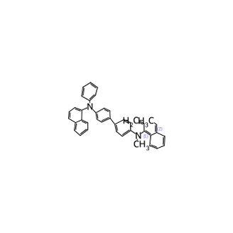 C=C/C(=c1/cccc/c1=C/C)N(C)c1ccc(-c2ccc(N(c3ccccc3)c3cccc4ccccc34)cc2)cc1